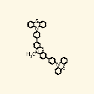 CN1c2ccc(-c3ccc(N4c5ccccc5Sc5ccccc54)cc3)cc2Sc2cc(-c3ccc(N4c5ccccc5Sc5ccccc54)cc3)ccc21